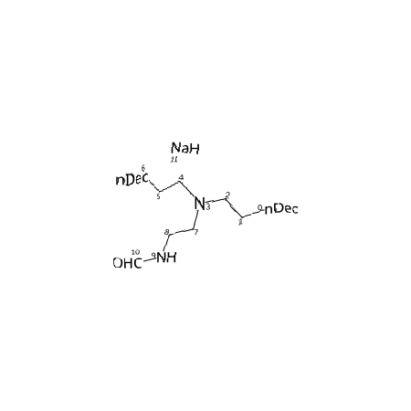 CCCCCCCCCCCCN(CCCCCCCCCCCC)CCNC=O.[NaH]